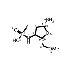 B[C@H]1CC(NP(=O)(O)I)[C@@H](COC)O1